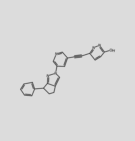 Oc1ccc(C#Cc2cncc(-n3cc4c(n3)C(c3ccccc3)CC4)c2)nn1